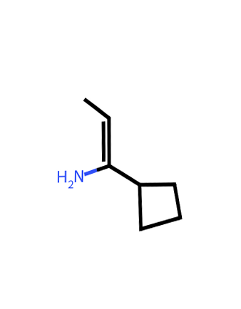 CC=C(N)C1CCC1